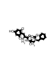 CC(C)(CN(Cc1ccccc1)C(=O)O)NC(=O)[C@@H](N)Cc1c(Cl)cc(O)cc1Cl